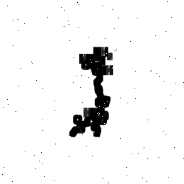 CCOC(=O)CC[C@H](NC(=O)c1ccc(C#CCCc2cc3c(=O)[nH]c(N)nc3[nH]2)o1)C(=O)OCC